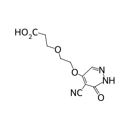 N#Cc1c(OCCOCCC(=O)O)cn[nH]c1=O